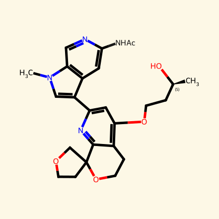 CC(=O)Nc1cc2c(-c3cc(OCC[C@H](C)O)c4c(n3)C3(CCOC3)OCC4)cn(C)c2cn1